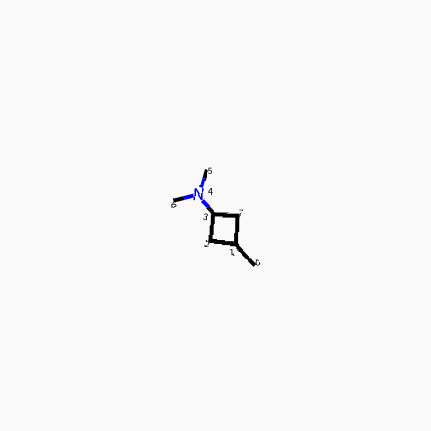 CC1CC(N(C)C)C1